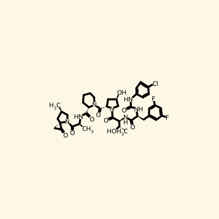 C[C@H]1CN(C(=O)[C@H](C)NC(=O)[C@@H]2CCCCN2C(=O)[C@@H]2C[C@@H](O)CN2C(=O)[C@@H](NC(=O)[C@H](Cc2cc(F)cc(F)c2)NC(=O)Nc2ccc(Cl)cc2)[C@H](C)O)[C@]2(CC2=O)C1